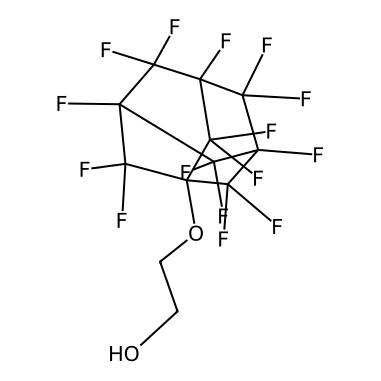 OCCOC12C(F)(F)C3(F)C(F)(F)C(F)(C(F)(F)C(F)(C3(F)F)C1(F)F)C2(F)F